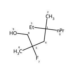 CCCC(C)(CC)CC(C)(F)CO